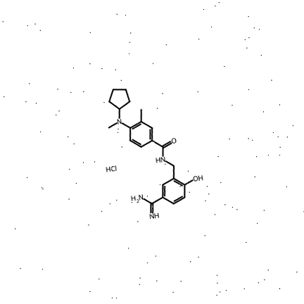 Cc1cc(C(=O)NCc2cc(C(=N)N)ccc2O)ccc1N(C)C1CCCC1.Cl